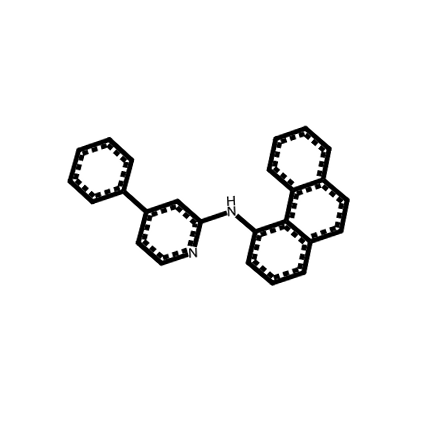 c1ccc(-c2ccnc(Nc3cccc4ccc5ccccc5c34)c2)cc1